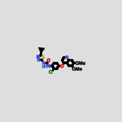 COc1cc2nccc(Oc3ccc(NC(=O)Nc4nnc(C5CC5)s4)c(Cl)c3)c2cc1OC